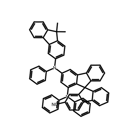 CC1(C)c2ccccc2-c2cc(N(c3ccccc3)c3cc4c(c(N(c5ccccc5)c5ccccc5)c3)C3(c5ccccc5-c5ccc(C#N)cc53)c3ccccc3-4)ccc21